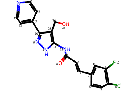 O=C(C=Cc1ccc(Cl)c(F)c1)Nc1[nH]nc(-c2ccncc2)c1CO